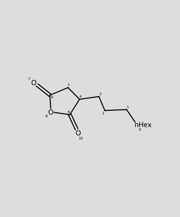 CCCCCCCCCC1CC(=O)OC1=O